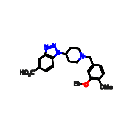 CCOc1cc(CN2CCC(n3nnc4cc(C(=O)O)ccc43)CC2)ccc1OC